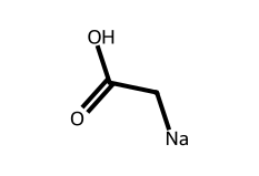 O=C(O)[CH2][Na]